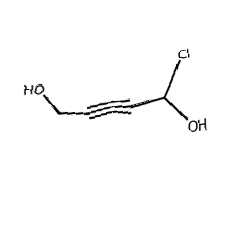 OCC#CC(O)Cl